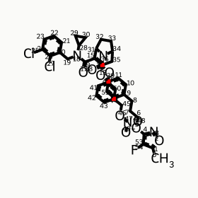 Cc1onc(OCCCc2ccc(OC3=C(C(=O)N(Cc4cccc(Cl)c4Cl)C4CC4)C4CCC(C3)N4C(=O)Oc3cccc(CO[N+](=O)[O-])c3)cc2)c1F